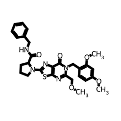 COCc1nc2sc(N3CCCC3C(=O)NCc3ccccc3)nc2c(=O)n1Cc1ccc(OC)cc1OC